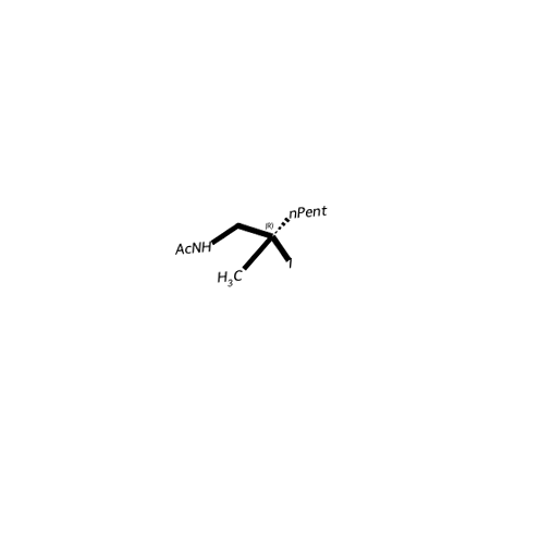 CCCCC[C@@](C)(I)CNC(C)=O